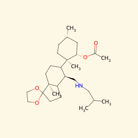 CC(=O)O[C@H]1C[C@@H](C)CC[C@]1(C)C1CC[C@@]2(C)C(CCC23OCCO3)[C@@H]1CNCC(C)C